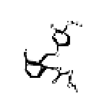 COC(=O)Oc1cccc(I)c1COc1ccc(C)c(F)c1